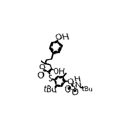 Cc1cc(SC2=C(O)CC(C)(CCc3ccc(O)cc3)OC2=O)c(C(C)(C)C)cc1OS(=O)(=O)NC(C)(C)C